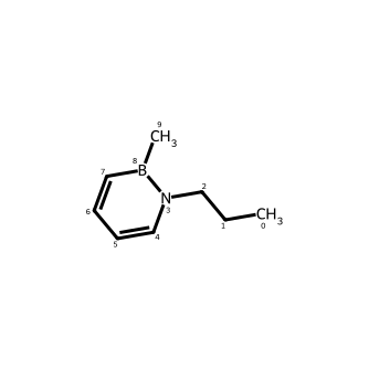 CCCN1C=CC=CB1C